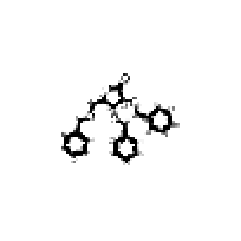 O=C1OC(COCc2ccccc2)[C@@H](OCc2ccccc2)[C@H]1OCc1ccccc1